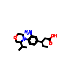 CC[C@H](CC(=O)O)c1ccc(N2CCOCC2C(C)C)c(N)c1